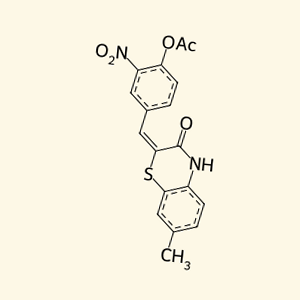 CC(=O)Oc1ccc(C=C2Sc3cc(C)ccc3NC2=O)cc1[N+](=O)[O-]